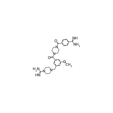 COc1cc(CN2CCN(C(=N)N)CC2)cc(C(=O)N2CCN(C(=O)c3ccc(C(=N)N)cc3)CC2)c1